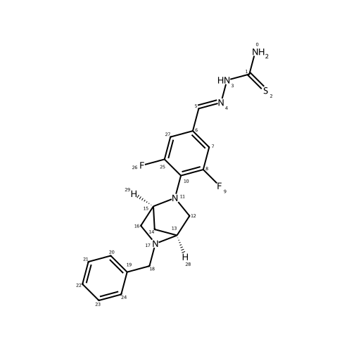 NC(=S)N/N=C/c1cc(F)c(N2C[C@@H]3C[C@H]2CN3Cc2ccccc2)c(F)c1